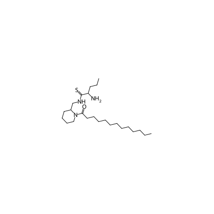 CCCCCCCCCCCCC(=O)N1CCCCC1CNC(=S)C(N)CCC